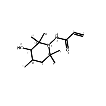 C=CC(=O)NN1C(C)(C)CC(C)C(C#N)C1(C)C